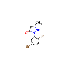 Cc1cc(=O)n(-c2cc(Br)ccc2Br)[nH]1